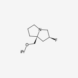 CC(C)OC[C@@]12CCCN1C[C@@H](F)C2